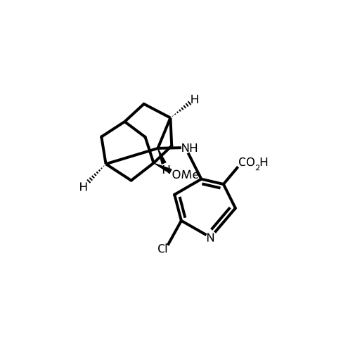 CO[C@]12CC3C[C@H](C1)[C@@H](Nc1cc(Cl)ncc1C(=O)O)[C@@H](C3)C2